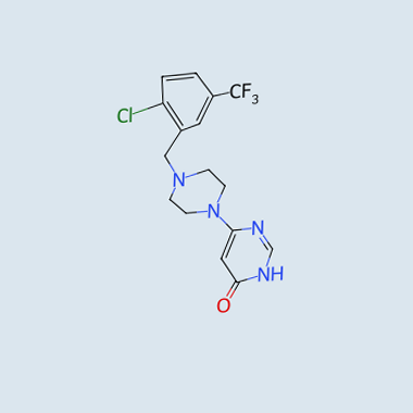 O=c1cc(N2CCN(Cc3cc(C(F)(F)F)ccc3Cl)CC2)nc[nH]1